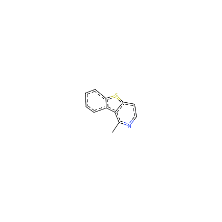 Cc1nccc2sc3ccccc3c12